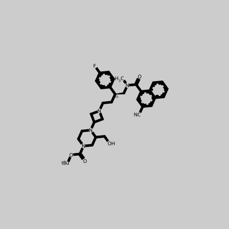 CN(C[C@@H](CCN1CC(N2CCN(C(=O)OC(C)(C)C)CC2CO)C1)c1ccc(F)cc1)C(=O)c1cc(C#N)cc2ccccc12